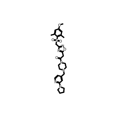 COc1cc(C)c(S(=O)(=O)Cc2noc(CC(=O)N3CCN(Cc4ccnc(N5CCCC5)c4)CC3)n2)c(C)c1